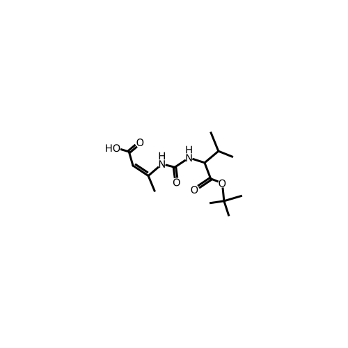 C/C(=C/C(=O)O)NC(=O)NC(C(=O)OC(C)(C)C)C(C)C